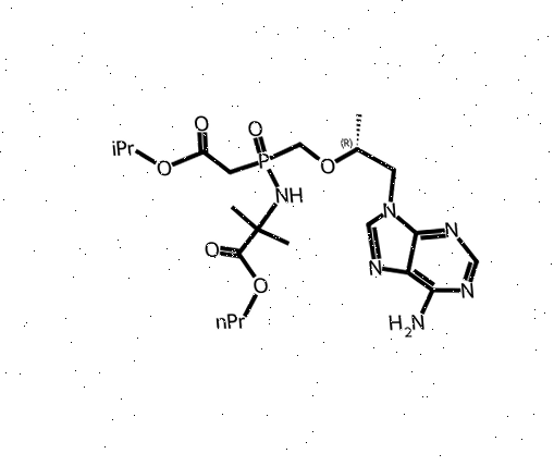 CCCOC(=O)C(C)(C)NP(=O)(CO[C@H](C)Cn1cnc2c(N)ncnc21)CC(=O)OC(C)C